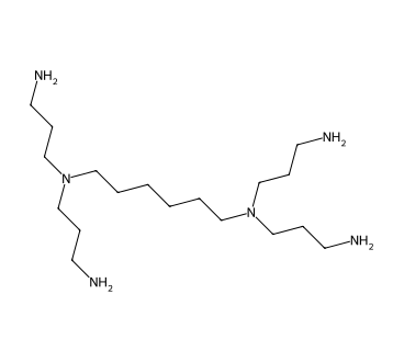 NCCCN(CCCN)CCCCCCN(CCCN)CCCN